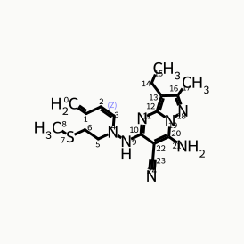 C=C/C=C\N(CCSC)Nc1nc2c(CC)c(C)nn2c(N)c1C#N